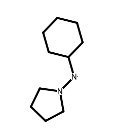 C1CCC([N]N2CCCC2)CC1